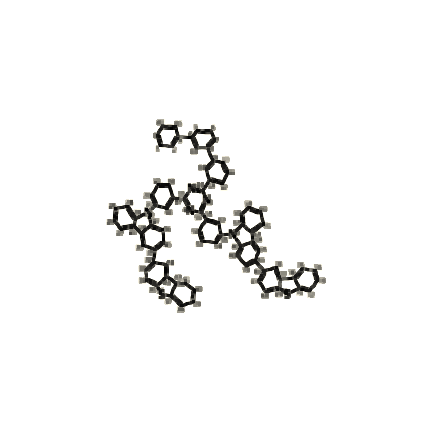 c1ccc(-c2cccc(-c3cccc(-c4nc(-c5cccc(-n6c7ccccc7c7cc(-c8ccc9sc%10ccccc%10c9c8)ccc76)c5)nc(-c5cccc(-n6c7ccccc7c7cc(-c8ccc9sc%10ccccc%10c9c8)ccc76)c5)n4)c3)c2)cc1